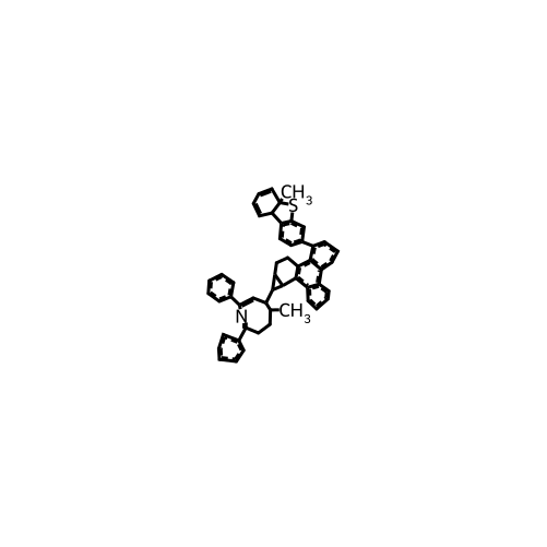 CC1CC/C(c2ccccc2)=N\C(c2ccccc2)=C/C1C1C2CCc3c(c4ccccc4c4cccc(-c5ccc6c(c5)SC5(C)C=CC=CC65)c34)C21